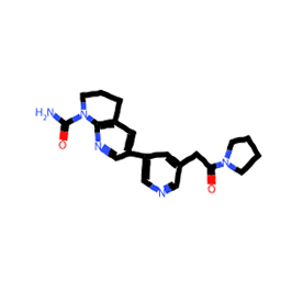 NC(=O)N1CCCc2cc(-c3cncc(CC(=O)N4CCCC4)c3)cnc21